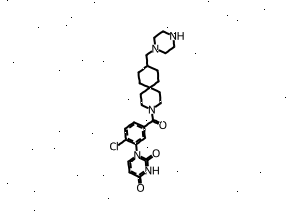 O=C(c1ccc(Cl)c(-n2ccc(=O)[nH]c2=O)c1)N1CCC2(CCC(CN3CCNCC3)CC2)CC1